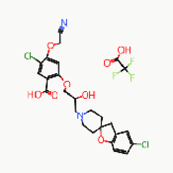 N#CCOc1cc(OC[C@@H](O)CN2CCC3(CC2)Cc2cc(Cl)ccc2O3)c(C(=O)O)cc1Cl.O=C(O)C(F)(F)F